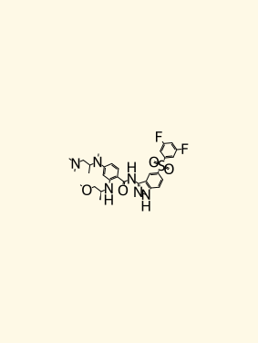 COC[C@H](C)Nc1cc(N(C)C(C)CN(C)C)ccc1C(=O)Nc1n[nH]c2ccc(S(=O)(=O)c3cc(F)cc(F)c3)cc12